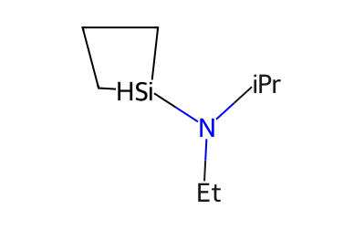 CCN(C(C)C)[SiH]1CCC1